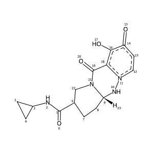 O=C(NC1CC1)C1CC[C@H]2Nn3ccc(=O)c(O)c3C(=O)N2C1